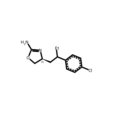 CCC(C[C@H]1COC(N)=N1)c1ccc(Cl)cc1